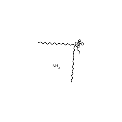 CCCCCCCCCCCCCCCCC(CCCC)(CCCCCCCCCCCCCCCC)OS(=O)(=O)OC.N